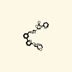 O=C1O[C@@H](CCNCc2cccc(-c3cccc(OCC4COCCN4)n3)c2)CN1C1=NC=CCC1